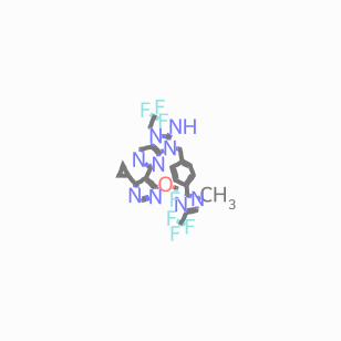 Cn1cc(C(F)(F)F)nc1-c1ccc(Cn2c(=N)n(CC(F)(F)F)c3cnc(-c4c(OCF)ncnc4C4CC4)nc32)cc1